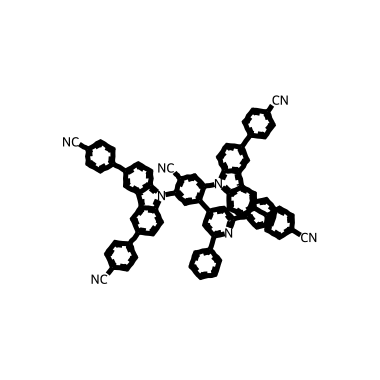 N#Cc1ccc(-c2ccc3c(c2)c2cc(-c4ccc(C#N)cc4)ccc2n3-c2cc(-c3cc(-c4ccccc4)nc(-c4ccccc4)c3)c(-n3c4ccc(-c5ccc(C#N)cc5)cc4c4cc(-c5ccc(C#N)cc5)ccc43)cc2C#N)cc1